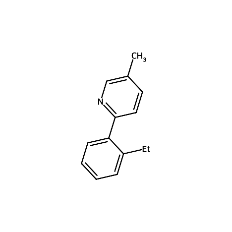 CCc1ccccc1-c1ccc(C)cn1